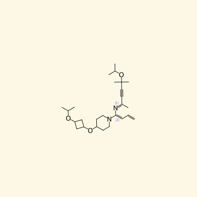 C=C/C=C(\N=C(/C)C#CC(C)(C)OC(C)C)N1CCC(OC2CC(OC(C)C)C2)CC1